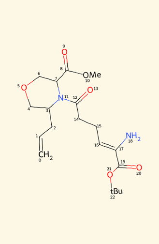 C=CCC1COCC(C(=O)OC)N1C(=O)CCC=C(N)C(=O)OC(C)(C)C